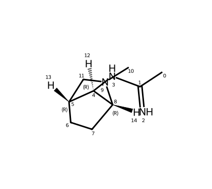 CC(=N)N[C@@H]1[C@@H]2CC[C@H]1N(C)C2